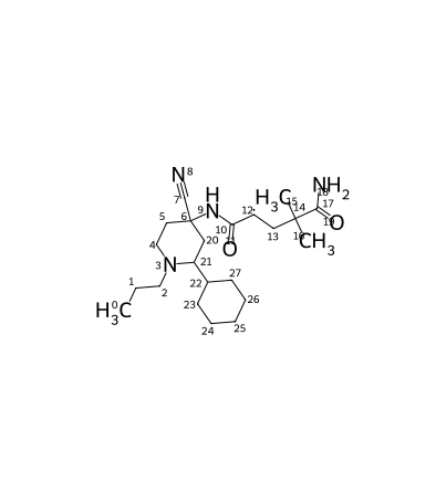 CCCN1CCC(C#N)(NC(=O)[CH]CC(C)(C)C(N)=O)CC1C1CCCCC1